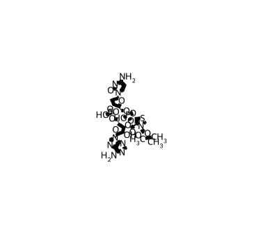 CC(C)(C)OC(=O)N1CSC[C@@H]1C(=O)O[C@H]1[C@@H](O)[C@H](n2cnc3c(N)ncnc32)O[C@@H]1COP(=O)(O)O[C@H]1C[C@H](n2ccc(N)nc2=O)O[C@@H]1COP(=O)(O)O